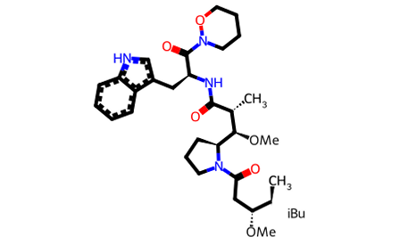 CC[C@H](C)[C@H](C)[C@@H](CC(=O)N1CCC[C@H]1[C@H](OC)[C@@H](C)C(=O)N[C@@H](Cc1c[nH]c2ccccc12)C(=O)N1CCCCO1)OC